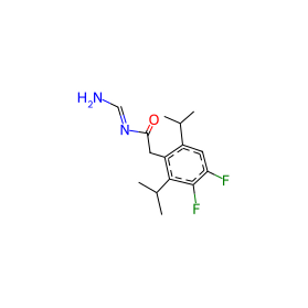 CC(C)c1cc(F)c(F)c(C(C)C)c1CC(=O)N=CN